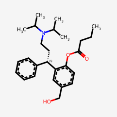 CCCC(=O)Oc1ccc(CO)cc1[C@@H](CCN(C(C)C)C(C)C)c1ccccc1